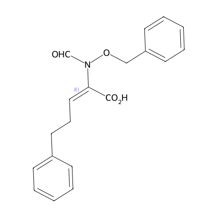 O=CN(OCc1ccccc1)/C(=C/CCc1ccccc1)C(=O)O